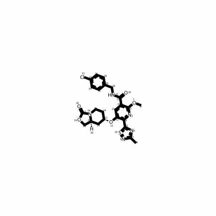 COc1nc(-c2nc(C)ns2)c(O[C@H]2CCN3C(=O)OC[C@@H]3C2)cc1C(=O)NCc1ccc(Cl)cc1